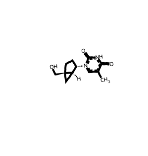 Cc1cn([C@H]2CC[C@@]3(CO)C[C@H]23)c(=O)[nH]c1=O